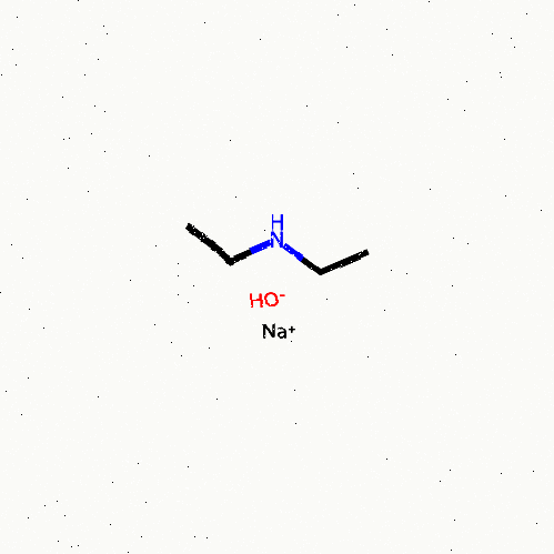 CCNCC.[Na+].[OH-]